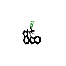 C[C](C)=[Zr+2]([CH]1C=Cc2ccccc21)[C]1(C)C=Cc2ccccc21.[Cl-].[Cl-]